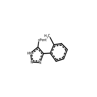 CCCCCc1[nH]nnc1-c1ccccc1C